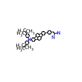 CC(C)(C)c1ccc(N(c2ccc(C(C)(C)C)cc2)c2ccc3c(c2)-c2ccc4c5c(ccc-3c25)-c2cc(-c3ccc(C=C(C#N)C#N)cc3)ccc2-4)cc1